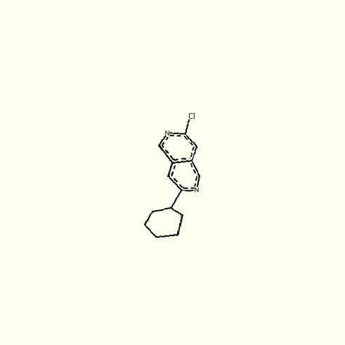 Clc1cc2cnc(C3CCCCC3)cc2cn1